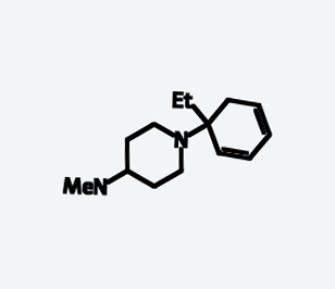 CCC1(N2CCC(NC)CC2)C=CC=CC1